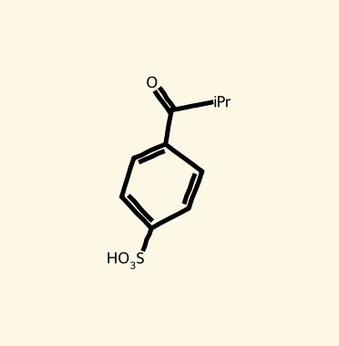 CC(C)C(=O)c1ccc(S(=O)(=O)O)cc1